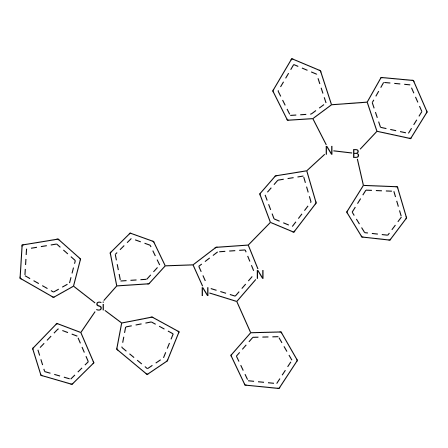 c1ccc(B2c3ccccc3-c3ccccc3N2c2ccc(-c3cc(-c4cccc([Si](c5ccccc5)(c5ccccc5)c5ccccc5)c4)nc(-c4ccccc4)n3)cc2)cc1